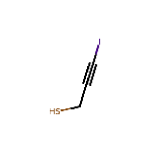 SCC#CI